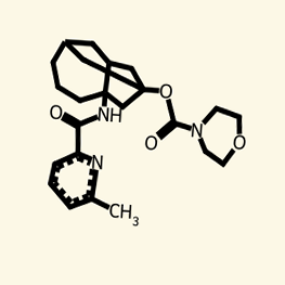 Cc1cccc(C(=O)NC23CCCC4CC2CC(OC(=O)N2CCOCC2)(C4)C3)n1